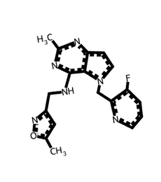 Cc1nc(NCc2cc(C)on2)c2c(ccn2Cc2ncccc2F)n1